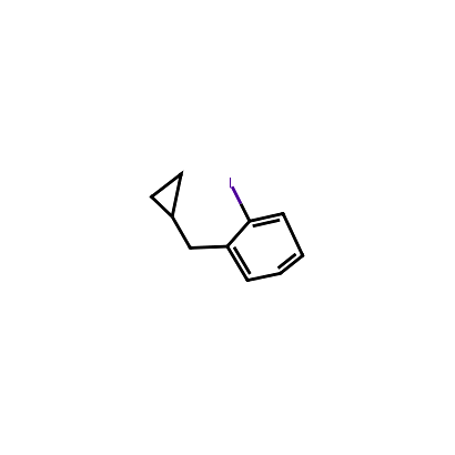 Ic1ccccc1CC1CC1